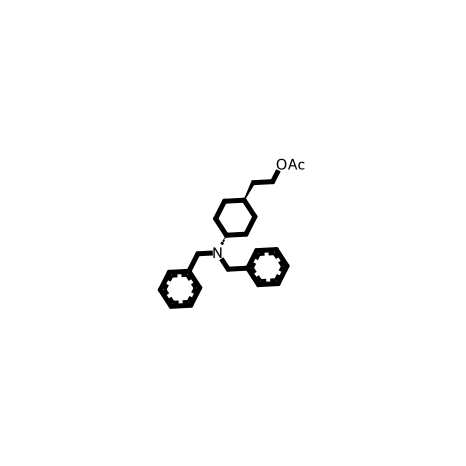 CC(=O)OCC[C@H]1CC[C@H](N(Cc2ccccc2)Cc2ccccc2)CC1